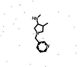 CNC1CN(Cc2cccnc2)CC1C